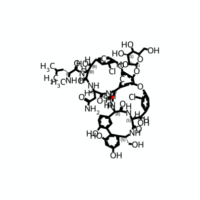 CN[C@H](CC(C)C)C(=O)N[C@H]1C(=O)N[C@@H](CC(N)=O)C(=O)N[C@H]2C(=S)N[C@H]3C(=O)N[C@H](C(=O)N[C@H](CO)c4cc(O)cc(O)c4-c4cc3ccc4O)[C@H](O)c3ccc(c(Cl)c3)Oc3cc2cc(c3O[C@@H]2OC(CO)C(O)[C@H](O)[C@H]2O)Oc2ccc(cc2Cl)[C@H]1O